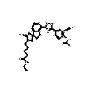 CCOC(=O)CCCCN1CC2(CCc3c(-c4noc(-c5ccc(OC(C)C)c(C#N)c5)n4)cccc32)CC1=O